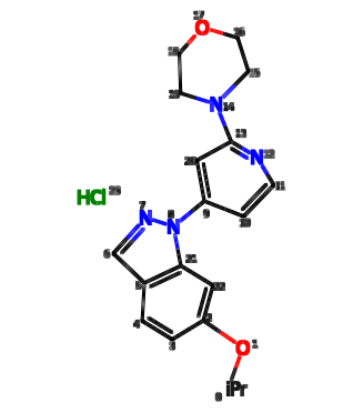 CC(C)Oc1ccc2cnn(-c3ccnc(N4CCOCC4)c3)c2c1.Cl